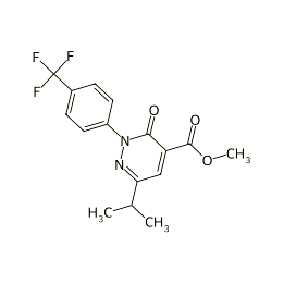 COC(=O)c1cc(C(C)C)nn(-c2ccc(C(F)(F)F)cc2)c1=O